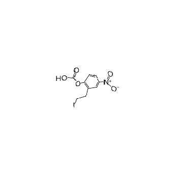 O=C(O)Oc1ccc([N+](=O)[O-])cc1CCI